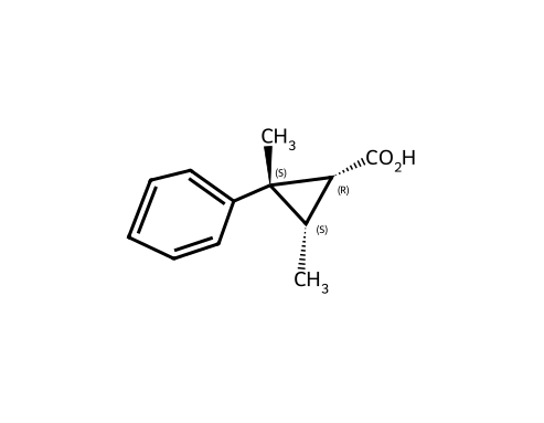 C[C@H]1[C@@H](C(=O)O)[C@@]1(C)c1ccccc1